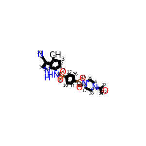 Cc1ccc(NS(=O)(=O)c2ccc(S(=O)(=O)N3CCN(C4COC4)CC3)cc2)c2[nH]cc(C#N)c12